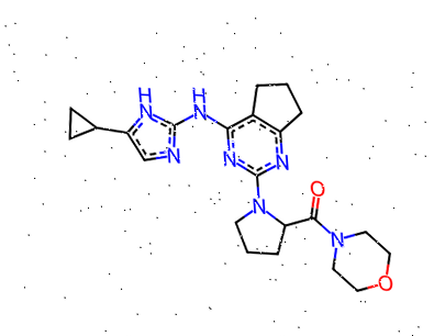 O=C(C1CCCN1c1nc2c(c(Nc3ncc(C4CC4)[nH]3)n1)CCC2)N1CCOCC1